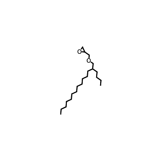 CCCCCCCCCCCCC(CCCC)COCC1CO1